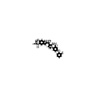 Cc1cc(Oc2ccccc2F)ccc1-n1ncc(C(=O)c2cc3cc(N[S+](C)[O-])c(F)cc3[nH]2)c1N